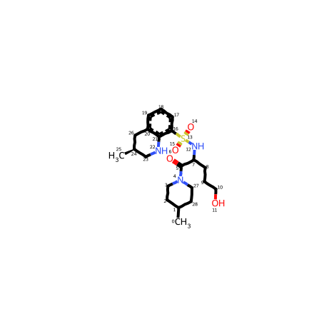 CC1CCN(C(=O)C(CCCO)NS(=O)(=O)c2cccc3c2NC[C@@H](C)C3)CC1